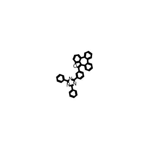 c1ccc(-c2nc(-c3ccccc3)nc(-c3cccc(-c4oc5cccc6c5c4-c4ccccc4-c4ccccc4-6)c3)n2)cc1